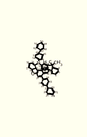 CC1(C)c2ccccc2-c2ccc(N(C3=CC=CC4Oc5cc(-c6ccc(-c7ccccc7)cc6)c6ccccc6c5C34)c3ccc(-c4ccccc4)cc3)cc21